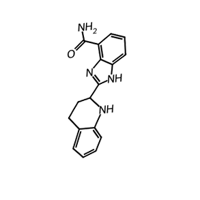 NC(=O)c1cccc2[nH]c(C3CCc4ccccc4N3)nc12